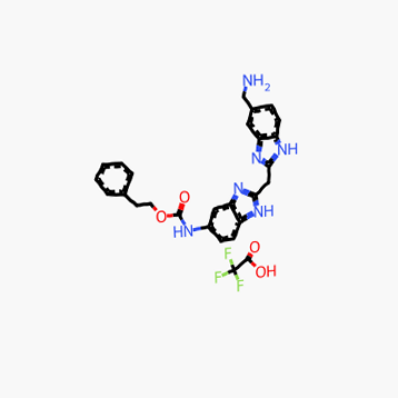 NCc1ccc2[nH]c(Cc3nc4cc(NC(=O)OCCc5ccccc5)ccc4[nH]3)nc2c1.O=C(O)C(F)(F)F